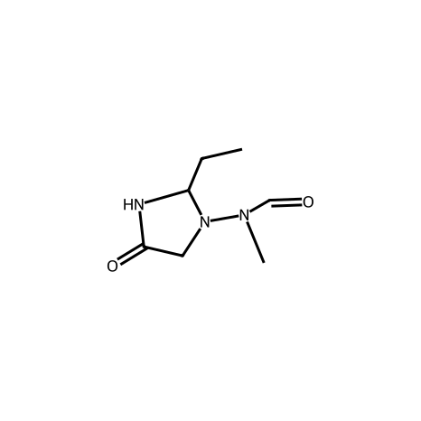 CCC1NC(=O)CN1N(C)C=O